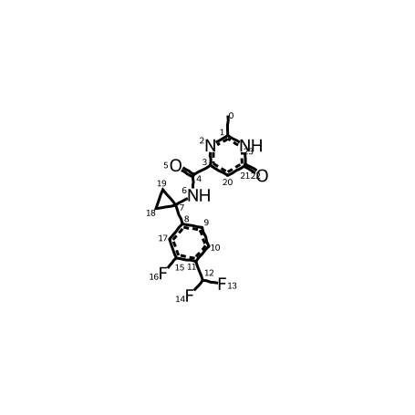 Cc1nc(C(=O)NC2(c3ccc(C(F)F)c(F)c3)CC2)cc(=O)[nH]1